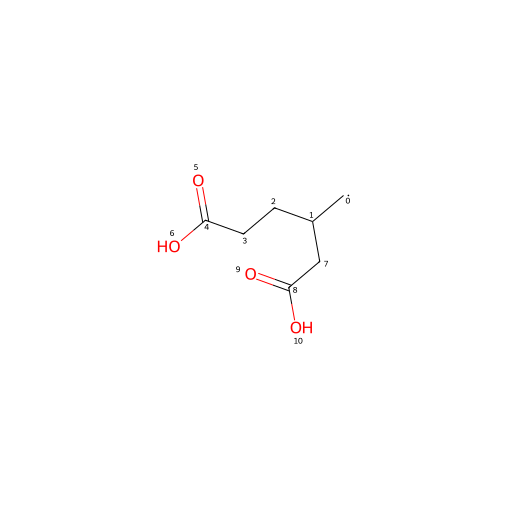 [CH2]C(CCC(=O)O)CC(=O)O